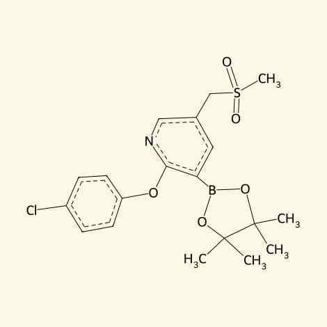 CC1(C)OB(c2cc(CS(C)(=O)=O)cnc2Oc2ccc(Cl)cc2)OC1(C)C